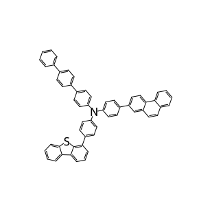 c1ccc(-c2ccc(-c3ccc(N(c4ccc(-c5ccc6c(ccc7ccccc76)c5)cc4)c4ccc(-c5cccc6c5sc5ccccc56)cc4)cc3)cc2)cc1